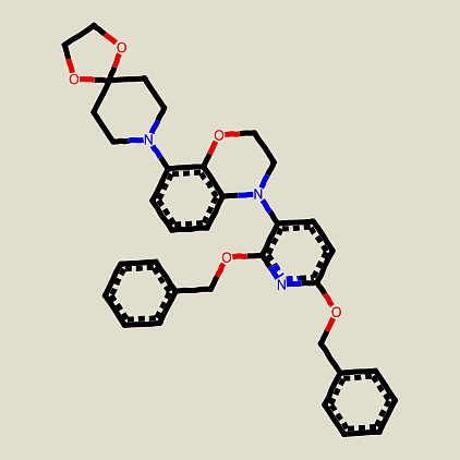 c1ccc(COc2ccc(N3CCOc4c(N5CCC6(CC5)OCCO6)cccc43)c(OCc3ccccc3)n2)cc1